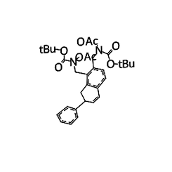 CC(=O)ON(Cc1ccc2c(c1CN(OC(C)=O)C(=O)OC(C)(C)C)CC(c1ccccc1)C=C2)C(=O)OC(C)(C)C